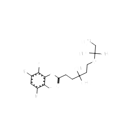 CC(C)(CCOC(C)(C)CN)CCC(=O)Oc1c(F)c(F)cc(F)c1F